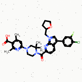 Cc1cc(N2CCN(C(=O)c3ccc4c(-c5ccc(Cl)c(F)c5)cn(CC5CCCO5)c4n3)C(C)(C)C2)nc(C)c1C(=O)O